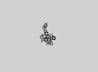 CNC(=O)c1cc2c(c(F)c1-c1c(Cl)c(F)cc3c1C[C@@](CO)(c1ccccc1)O3)CC(O[Si](C)(C)C(C)(C)C)C2